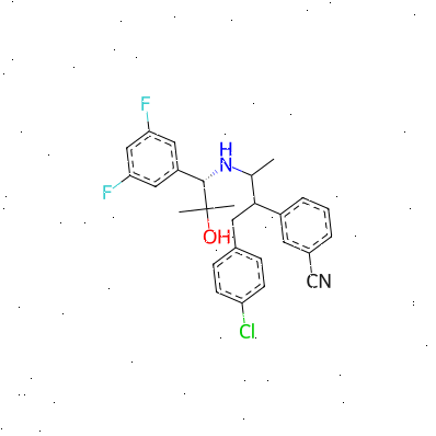 CC(N[C@@H](c1cc(F)cc(F)c1)C(C)(C)O)C(Cc1ccc(Cl)cc1)c1cccc(C#N)c1